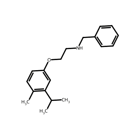 Cc1ccc(OCCNCc2ccccc2)cc1C(C)C